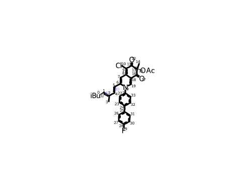 CC[C@H](C)/C=C(C)/C=C/C1=CC2=C(Cl)C(=O)[C@](C)(OC(C)=O)C(=O)C2=CN1c1ccc(-c2ccc(F)cc2)cc1